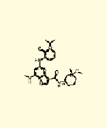 CNc1cc(Nc2cccn(C(C)C)c2=O)nc2c(C(=O)N[C@@H]3CCC[C@@](C)(OC)C3)cnn12